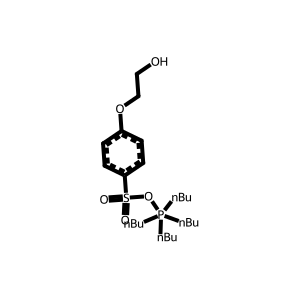 CCCCP(CCCC)(CCCC)(CCCC)OS(=O)(=O)c1ccc(OCCO)cc1